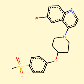 CS(=O)(=O)c1ccc(OC2CCN(c3ccnc4ccc(Br)cc34)CC2)cc1